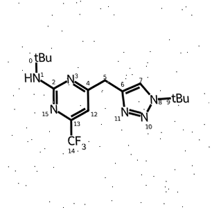 CC(C)(C)Nc1nc(Cc2cn(C(C)(C)C)nn2)cc(C(F)(F)F)n1